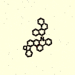 c1ccc(-c2ccccc2N(c2ccc3c(ccc4oc5ccccc5c43)c2)c2cc3ccc4ccccc4c3c3ccccc23)cc1